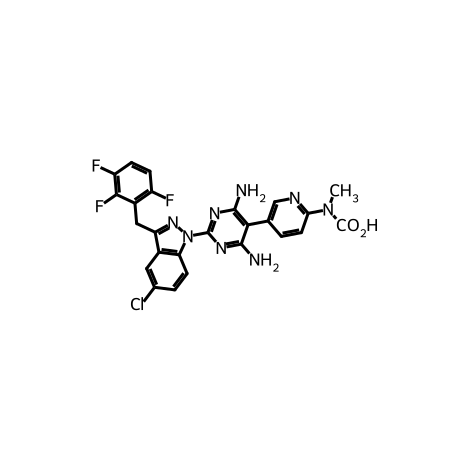 CN(C(=O)O)c1ccc(-c2c(N)nc(-n3nc(Cc4c(F)ccc(F)c4F)c4cc(Cl)ccc43)nc2N)cn1